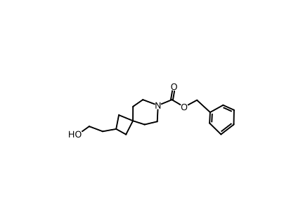 O=C(OCc1ccccc1)N1CCC2(CC1)CC(CCO)C2